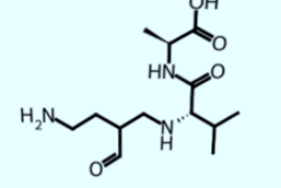 CC(C)[C@H](NCC(C=O)CCN)C(=O)N[C@@H](C)C(=O)O